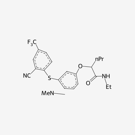 CCCC(Oc1cccc(Sc2ccc(C(F)(F)F)cc2C#N)c1)C(=O)NCC.CNC